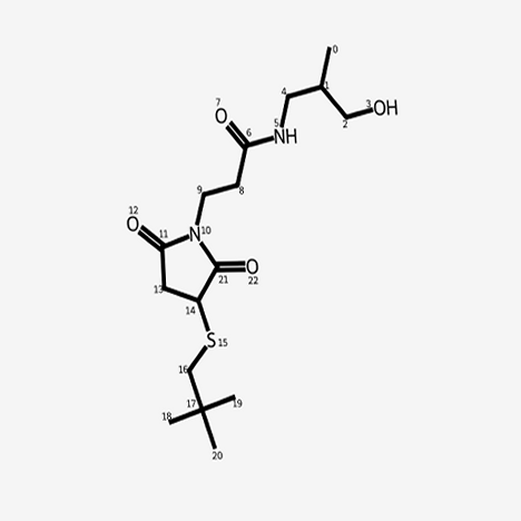 CC(CO)CNC(=O)CCN1C(=O)CC(SCC(C)(C)C)C1=O